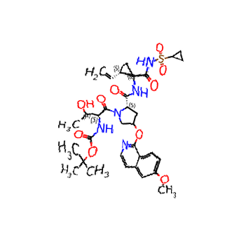 C=C[C@@H]1C[C@]1(NC(=O)[C@@H]1CC(Oc2nccc3cc(OC)ccc23)CN1C(=O)[C@@H](NC(=O)OC(C)(C)C)[C@@H](C)O)C(=O)NS(=O)(=O)C1CC1